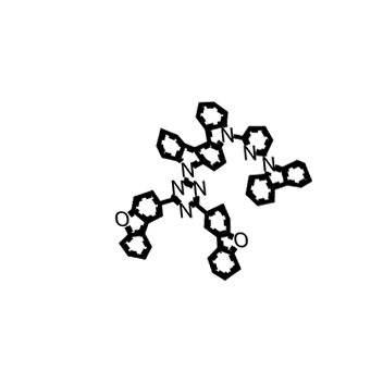 c1cc(-n2c3ccccc3c3ccccc32)nc(-n2c3ccccc3c3c4c5ccccc5n(-c5nc(-c6ccc7oc8ccccc8c7c6)nc(-c6ccc7oc8ccccc8c7c6)n5)c4ccc32)c1